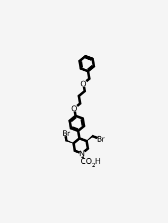 O=C(O)N1C[C@@H](CBr)C(c2ccc(OCCCOCc3ccccc3)cc2)[C@@H](CBr)C1